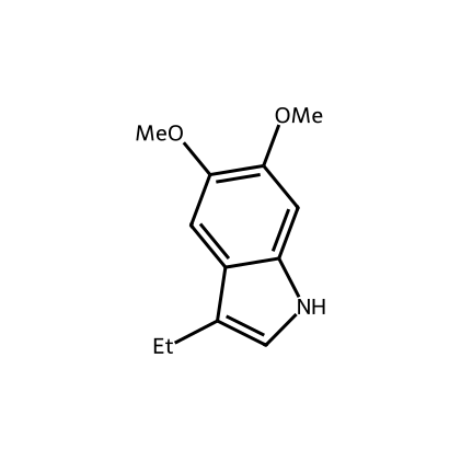 CCc1c[nH]c2cc(OC)c(OC)cc12